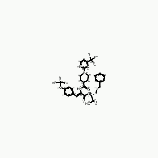 O=C(N[C@H](COCc1ccccc1)C(=O)O)C(=Cc1ccc(OC(F)(F)F)cc1)NC(=O)C1CCN(c2nccc(C(F)(F)F)n2)CC1